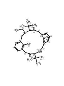 CCN1Cc2cccc(c2O)CNC(C(C)(C)C)NCc2cccc(c2O)CNC1C(C)(C)C